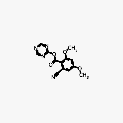 COc1cc(C#N)c(C(=O)Oc2ncncn2)c(OC)c1